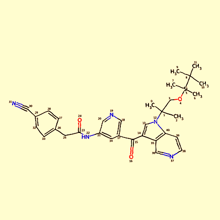 CC(C)(CO[Si](C)(C)C(C)(C)C)n1cc(C(=O)c2cncc(NC(=O)Cc3ccc(C#N)cc3)c2)c2cnccc21